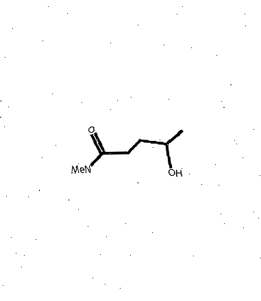 CNC(=O)CCC(C)O